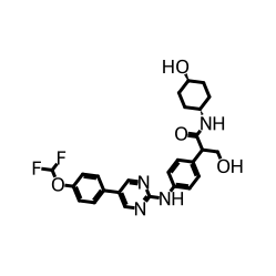 O=C(N[C@H]1CC[C@H](O)CC1)C(CO)c1ccc(Nc2ncc(-c3ccc(OC(F)F)cc3)cn2)cc1